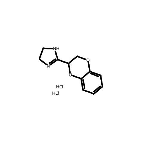 Cl.Cl.c1ccc2c(c1)OCC(C1=NCCN1)O2